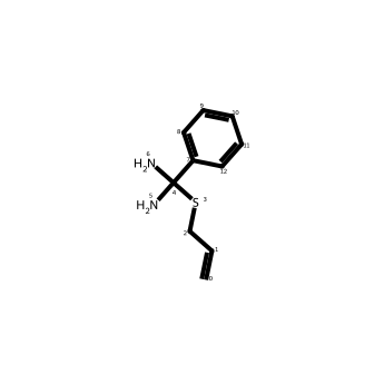 C=CCSC(N)(N)c1ccccc1